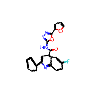 O=C(Nc1nnc(-c2ccco2)o1)c1cc(-c2ccccc2)nc2ccc(F)cc12